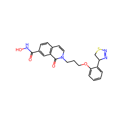 O=C(NO)c1ccc2ccn(CCCOc3ccccc3C3CSN=N3)c(=O)c2c1